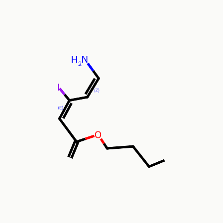 C=C(/C=C(I)\C=C/N)OCCCC